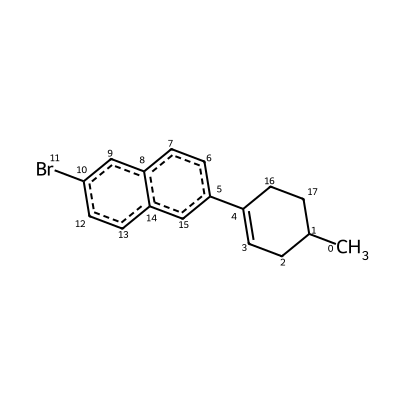 CC1CC=C(c2ccc3cc(Br)ccc3c2)CC1